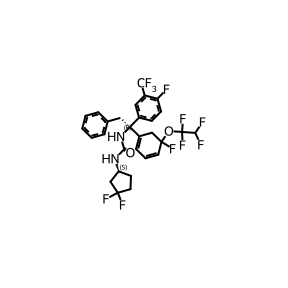 O=C(N[C@H]1CCC(F)(F)C1)N[C@](Cc1ccccc1)(C1=CC=CC(F)(OC(F)(F)C(F)F)C1)c1ccc(F)c(C(F)(F)F)c1